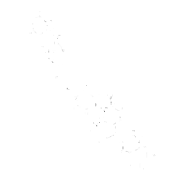 Cc1cc(C(=O)c2ccc(=O)n(-c3ccc(OCCCN[C@@H](Cc4ccccc4)C(=O)O)cc3)c2N)ccc1F